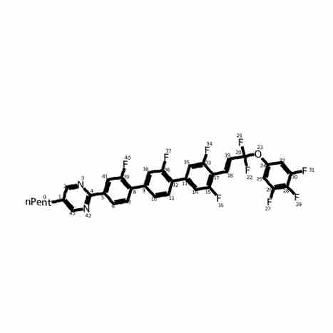 CCCCCc1cnc(-c2ccc(-c3ccc(-c4cc(F)c(/C=C/C(F)(F)Oc5cc(F)c(F)c(F)c5)c(F)c4)c(F)c3)c(F)c2)nc1